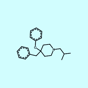 CC(C)CN1CCC(Cc2ccccc2)(Oc2ccccc2)CC1